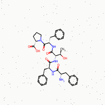 C[C@@H](O)[C@H](NC(=O)[C@H](Cc1ccccc1)NC(=O)[C@@H](N)Cc1ccccc1)C(=O)N[C@@H](Cc1ccccc1)C(=O)N1CCC[C@H]1C(=O)O